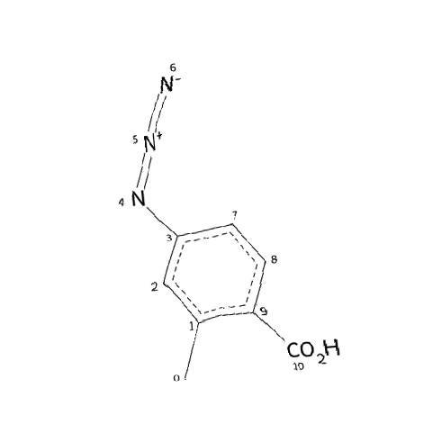 Cc1cc(N=[N+]=[N-])ccc1C(=O)O